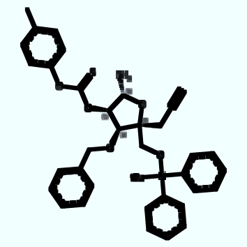 B[C@@H]1O[C@](CC#C)(CO[Si](c2ccccc2)(c2ccccc2)C(C)(C)C)[C@@H](OCc2ccccc2)[C@H]1OC(=S)Oc1ccc(C)cc1